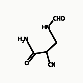 N#CC(CNC=O)C(N)=O